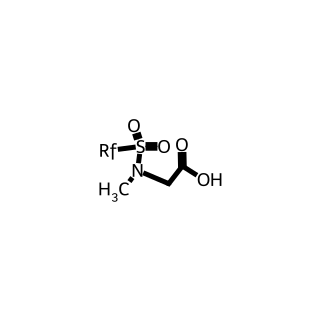 CN(CC(=O)O)[S](=O)(=O)[Rf]